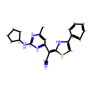 Cc1cc(C(C#N)=C2NC(c3ccccc3)=CS2)nc(NC2CCCC2)n1